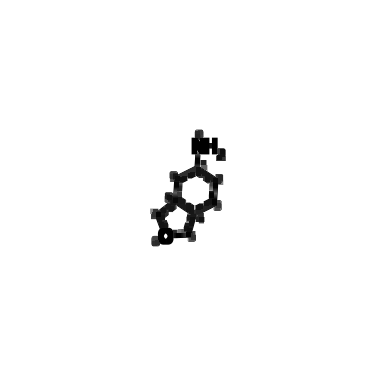 Nc1ccc2cocc2c1